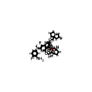 C[C@@H]1Oc2nc(N(C)c3ccc(F)c(N)c3)c(F)c3nc(OCC45CCCN4C[C@H](F)C5)nc(c23)N2C[C@H]3CC[C@@H]([C@@H]12)N3C(=O)OC(C)(C)C